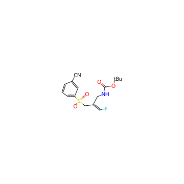 CC(C)(C)OC(=O)NC/C(=C\F)CS(=O)(=O)c1cccc(C#N)c1